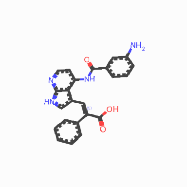 Nc1cccc(C(=O)Nc2ccnc3[nH]cc(/C=C(/C(=O)O)c4ccccc4)c23)c1